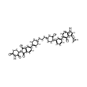 O=C1CCC(N2C(=O)c3ccc(C4=CCN(CCCN5CCN(c6cccc(-c7cnc8[nH]cc(C9CC9)c8c7Cl)c6)C(=O)C5)CC4)cc3C2=O)C(=O)N1